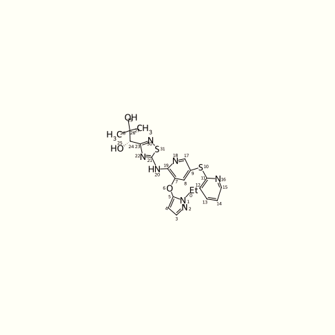 CCn1nccc1Oc1cc(Sc2ccccn2)cnc1Nc1nc([C@H](O)C(C)(C)O)ns1